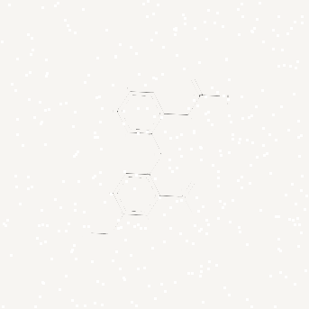 COc1ccc(Nc2ccccc2CC(=O)O)c([N+](=O)[O-])c1